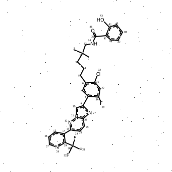 CC(C)(CCCc1cc(-c2cn3nc(-c4cccnc4C(F)(F)F)ccc3n2)c(F)cc1Cl)CNC(=O)c1ccccc1O